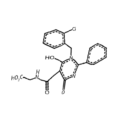 O=C(O)CNC(=O)c1c(O)n(Cc2ccccc2Cl)c(-c2ccccc2)nc1=O